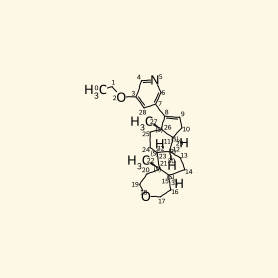 CCOc1cncc(C2=CC[C@H]3[C@@H]4CC[C@H]5CCOCC[C@]5(C)[C@H]4CC[C@]23C)c1